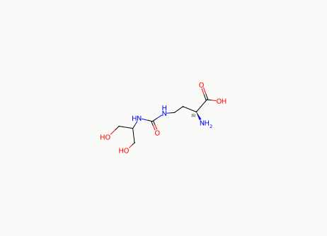 N[C@@H](CCNC(=O)NC(CO)CO)C(=O)O